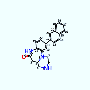 O=C1CC2CNCCN2c2cc(-c3ccc4ccccc4c3)ccc2N1